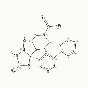 CCCC(=O)N1CCC(C2(c3cccc(-c4ccccc4)c3)N=C(N)N(C)C2=O)CC1